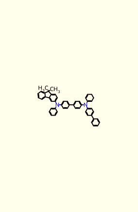 CC1(C)c2ccccc2-c2cc(N(c3ccccc3)c3ccc(-c4ccc(N(C5=CCCC=C5)c5ccc(-c6ccccc6)cc5)cc4)cc3)ccc21